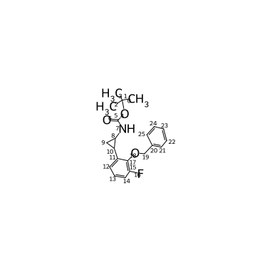 CC(C)(C)OC(=O)NC1CC1c1cccc(F)c1OCc1ccccc1